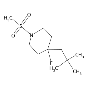 CC(C)(C)CC1(F)CCN(S(C)(=O)=O)CC1